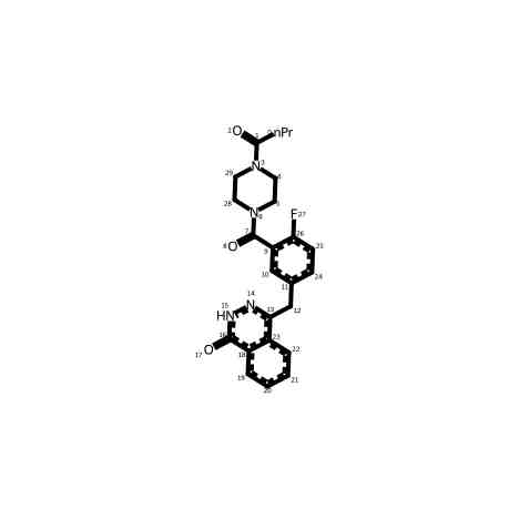 CCCC(=O)N1CCN(C(=O)c2cc(Cc3n[nH]c(=O)c4ccccc34)ccc2F)CC1